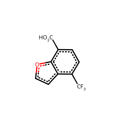 O=C(O)c1ccc(C(F)(F)F)c2ccoc12